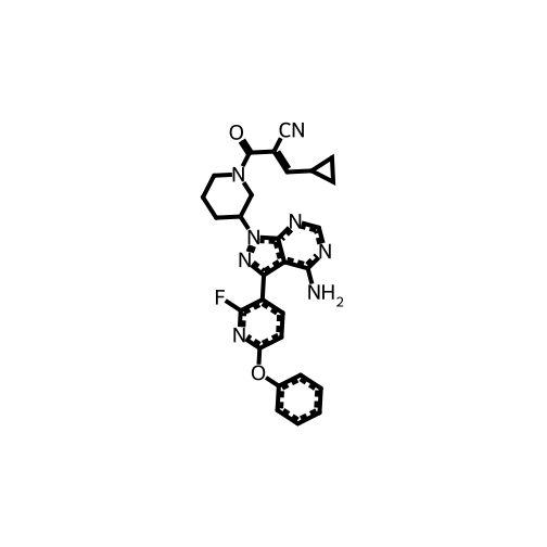 N#CC(=CC1CC1)C(=O)N1CCCC(n2nc(-c3ccc(Oc4ccccc4)nc3F)c3c(N)ncnc32)C1